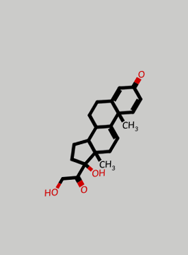 CC12C=CC(=O)C=C1CCC1C2=CCC2(C)C1CCC2(O)C(=O)CO